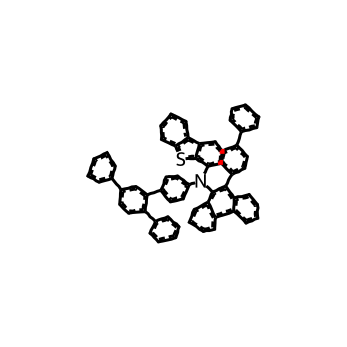 c1ccc(-c2ccc(-c3c(N(c4ccc(-c5cc(-c6ccccc6)ccc5-c5ccccc5)cc4)c4cccc5c4sc4ccccc45)c4ccccc4c4ccccc34)cc2)cc1